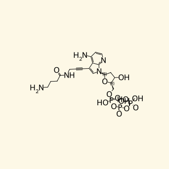 NCCCC(=O)NCC#Cc1cn([C@H]2CC(O)[C@@H](COP(=O)(O)OP(=O)(O)OP(=O)(O)O)O2)c2nccc(N)c12